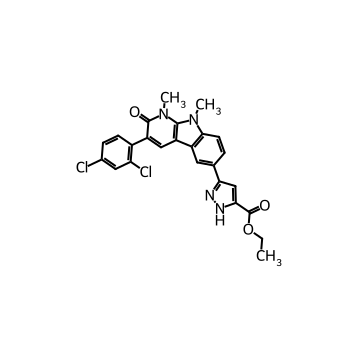 CCOC(=O)c1cc(-c2ccc3c(c2)c2cc(-c4ccc(Cl)cc4Cl)c(=O)n(C)c2n3C)n[nH]1